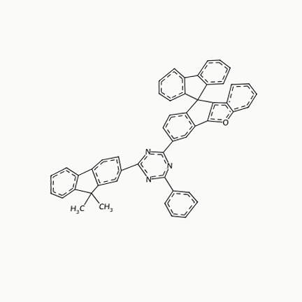 CC1(C)c2ccccc2-c2ccc(-c3nc(-c4ccccc4)nc(-c4ccc5c(c4)-c4oc6ccccc6c4C54c5ccccc5-c5ccccc54)n3)cc21